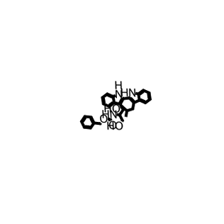 CC(CO)Cc1c(-c2[nH]c3ccccc3c2CC(CO)NC(=O)OCc2ccccc2)[nH]c2ccccc12